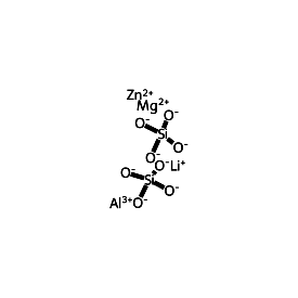 [Al+3].[Li+].[Mg+2].[O-][Si]([O-])([O-])[O-].[O-][Si]([O-])([O-])[O-].[Zn+2]